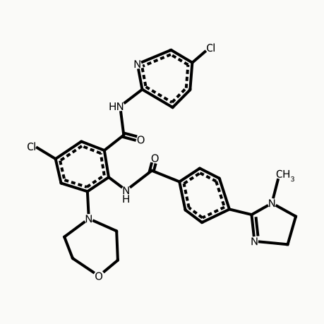 CN1CCN=C1c1ccc(C(=O)Nc2c(C(=O)Nc3ccc(Cl)cn3)cc(Cl)cc2N2CCOCC2)cc1